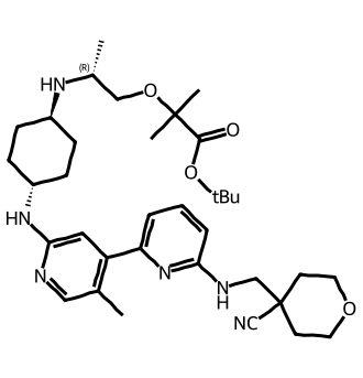 Cc1cnc(N[C@H]2CC[C@H](N[C@H](C)COC(C)(C)C(=O)OC(C)(C)C)CC2)cc1-c1cccc(NCC2(C#N)CCOCC2)n1